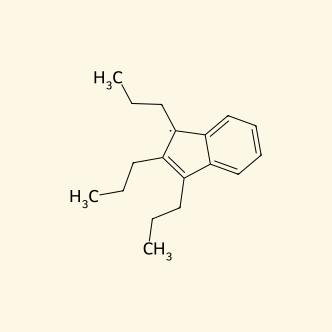 CCC[C]1C(CCC)=C(CCC)c2ccccc21